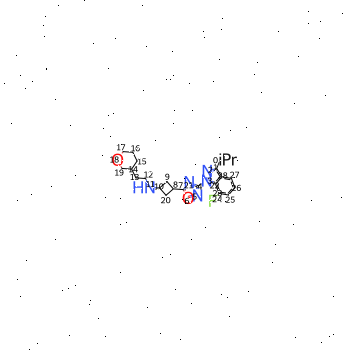 CC(C)c1nn(-c2noc(C3CC(NCCC4CCCOC4)C3)n2)c2c(F)cccc12